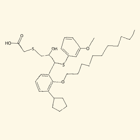 CCCCCCCCCCCOc1c(C2CCCC2)cccc1C(Sc1cccc(OC)c1)C(O)CSCC(=O)O